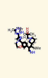 CN/C(=C(\C=N)c1ccc2c(c1)OCCn1cc(/C(=N/C(C)=N)NC(C)C)nc1-2)C1CCCN(CC(C)(C)O)C1